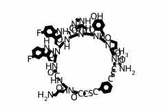 C[C@@]12CCCN1C(=O)[C@H](Cc1ccc(O)cc1)NC(=O)[C@H](Cc1cnc[nH]1)NC(=O)[C@H](CC(=O)O)NC(=O)[C@H](Cc1c[nH]c3ccc(F)cc13)NC(=O)[C@H](Cc1c[nH]c3ccc(F)cc13)NC(=O)CNC(=O)[C@H](CCCN)NC(=O)CCSCc1cccc(c1)CSC[C@@H](C(N)=O)NC2=O